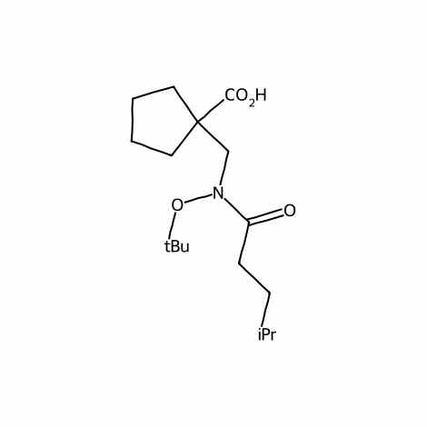 CC(C)CCC(=O)N(CC1(C(=O)O)CCCC1)OC(C)(C)C